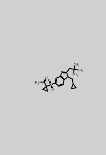 CC(C)(C)Cc1nc2cc(S(=O)(=O)C3(C(N)=O)CC3)ccc2n1CC1CC1